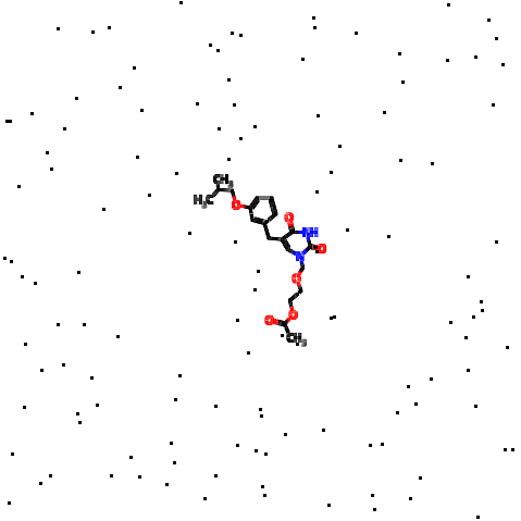 CC(=O)OCCOCn1cc(Cc2cccc(OCC(C)C)c2)c(=O)[nH]c1=O